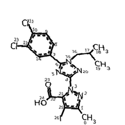 Cc1nn(-c2nc(-c3ccc(Cl)c(Cl)c3)n(CC(C)C)n2)c(C(=O)O)c1I